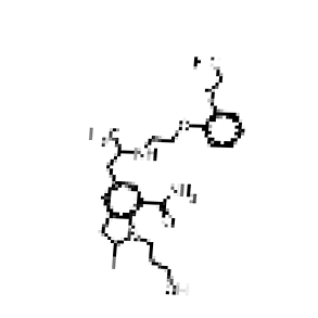 CC(Cc1cc2c(c(C(N)=O)c1)N(CCCO)C(I)C2)NCCOc1ccccc1OCC(F)(F)F